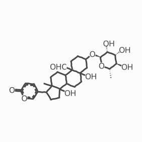 C[C@@H]1O[C@@H](OC2CCC3(C=O)C4CCC5(C)C(c6ccc(=O)oc6)CCC5(O)C4CCC3(O)C2)[C@H](O)[C@H](O)[C@H]1O